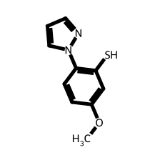 COc1ccc(-n2cccn2)c(S)c1